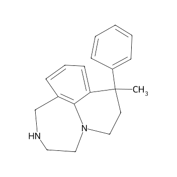 CC1(c2ccccc2)CCN2CCNCc3cccc1c32